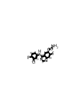 NOOc1cc2c(Nc3ccc(F)c(Cl)c3)ncnc2cc1F